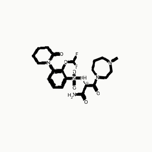 CN1CCCN(C(=O)[C@@H](NS(=O)(=O)c2cccc(N3CCCCC3=O)c2OC(F)F)C(N)=O)CC1